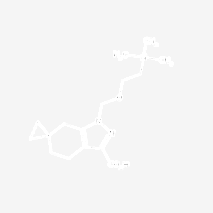 C[Si](C)(C)CCOCn1nc(C(=O)O)c2c1CC1(CC2)CC1